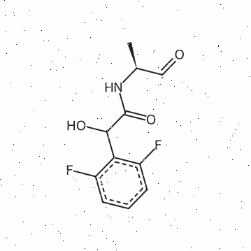 C[C@@H]([C]=O)NC(=O)C(O)c1c(F)cccc1F